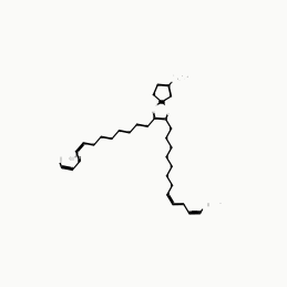 CCCCC/C=C\C/C=C\CCCCCCCC1OC2(CCC(NC)C2)OC1CCCCCCC/C=C\C/C=C\CCCCC